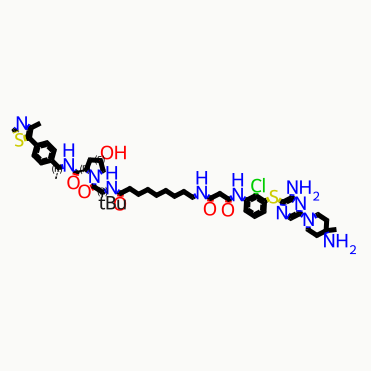 Cc1ncsc1-c1ccc([C@@H](C)NC(=O)[C@H]2C[C@H](O)CN2C(=O)[C@H](NC(=O)CCCCCCCCNC(=O)CC(=O)Nc2cccc(Sc3ncc(N4CCC(C)(N)CC4)nc3N)c2Cl)C(C)(C)C)cc1